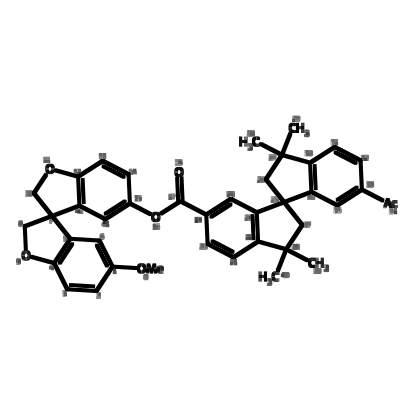 COc1ccc2c(c1)C1(CO2)COc2ccc(OC(=O)c3ccc4c(c3)C3(CC(C)(C)c5ccc(C(C)=O)cc53)CC4(C)C)cc21